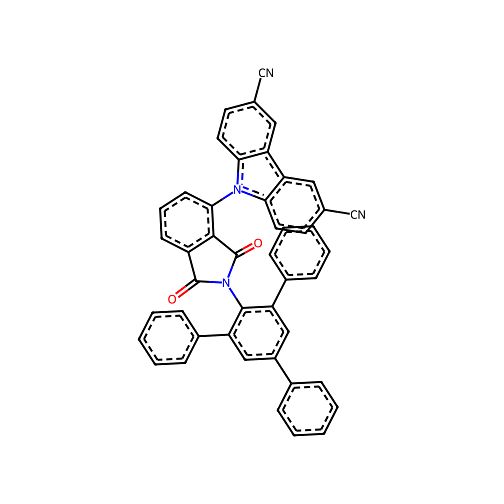 N#Cc1ccc2c(c1)c1cc(C#N)ccc1n2-c1cccc2c1C(=O)N(c1c(-c3ccccc3)cc(-c3ccccc3)cc1-c1ccccc1)C2=O